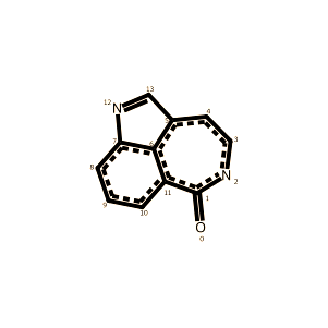 O=c1nccc2c3c(cccc13)N=C2